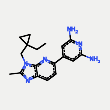 CCC1(Cn2c(C)nc3ccc(-c4cc(N)nc(N)c4)nc32)CC1